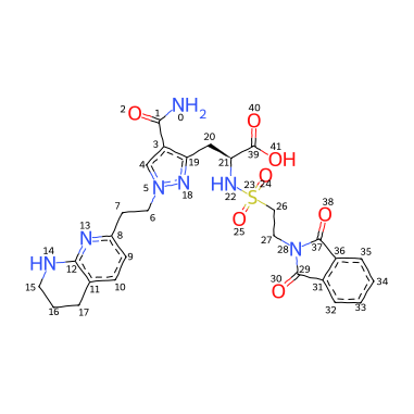 NC(=O)c1cn(CCc2ccc3c(n2)NCCC3)nc1C[C@H](NS(=O)(=O)CCN1C(=O)c2ccccc2C1=O)C(=O)O